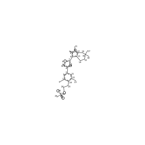 Cc1cc(-c2noc(-c3nn(C)c4c3CCC(C)(C)C4)n2)cc(C)c1CCOS(C)(=O)=O